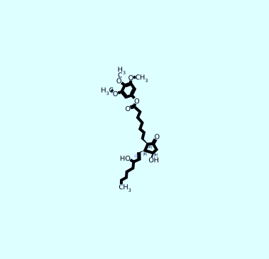 CCCCCC(O)/C=C/[C@H]1[C@H](O)CC(=O)[C@@H]1CCCCCCC(=O)Oc1cc(OC)c(OC)c(OC)c1